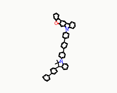 CC1(C)C(c2ccc(-c3ccccc3)cc2)c2ccccc2N1c1ccc(-c2ccc(-c3ccc(-n4c5ccccc5c5cc6c(cc54)oc4ccccc46)cc3)cc2)cc1